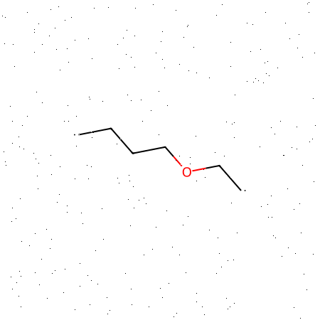 [CH2]CCCOC[CH2]